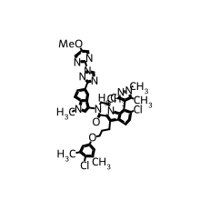 COc1cnc(-n2cnc(-c3ccc4c(c3)c(N3C[C@@H](C)n5c(c(CCCOc6cc(C)c(Cl)c(C)c6)c6ccc(Cl)c(-c7c(C)nn(C)c7C)c65)C3=O)cn4C)n2)nc1